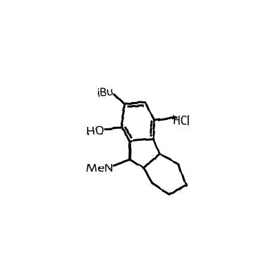 CCC(C)c1cc(C)c2c(c1O)C(NC)C1CCCCC21.Cl